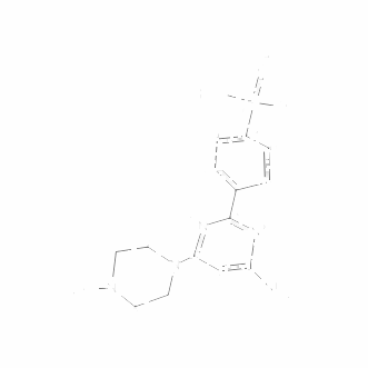 CN1CCN(c2cc(N)nc(-c3ccc(P(C)(C)=O)cc3)n2)CC1